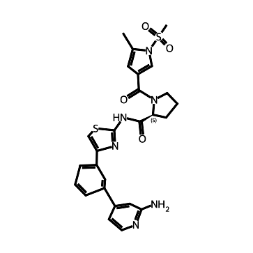 Cc1cc(C(=O)N2CCC[C@H]2C(=O)Nc2nc(-c3cccc(-c4ccnc(N)c4)c3)cs2)cn1S(C)(=O)=O